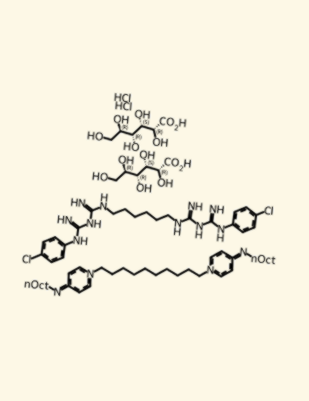 CCCCCCCCN=c1ccn(CCCCCCCCCCn2ccc(=NCCCCCCCC)cc2)cc1.Cl.Cl.N=C(NCCCCCCNC(=N)NC(=N)Nc1ccc(Cl)cc1)NC(=N)Nc1ccc(Cl)cc1.O=C(O)[C@H](O)[C@@H](O)[C@H](O)[C@H](O)CO.O=C(O)[C@H](O)[C@@H](O)[C@H](O)[C@H](O)CO